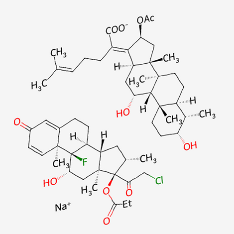 CC(=O)O[C@H]1C[C@@]2(C)[C@@H](C[C@@H](O)[C@H]3[C@@]4(C)CC[C@@H](O)[C@@H](C)[C@@H]4CC[C@@]32C)/C1=C(\CCC=C(C)C)C(=O)[O-].CCC(=O)O[C@]1(C(=O)CCl)[C@@H](C)C[C@H]2[C@@H]3CCC4=CC(=O)C=C[C@]4(C)[C@@]3(F)[C@@H](O)C[C@@]21C.[Na+]